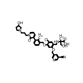 Cc1c(COc2cc(OCc3cncc(C#N)c3)c(CNC(C)(CO)C(=O)O)cc2Cl)cccc1-c1cccn(CCCN2CC[C@@H](O)C2)c1=O